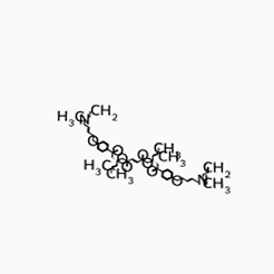 C=CCN(C)C/C=C/COc1ccc(C(=O)C[C@@H](C=C(C)C)OC(=O)/C=C/C(=O)O[C@H](C=C(C)C)CC(=O)c2ccc(OC/C=C/CN(C)CC=C)cc2)cc1